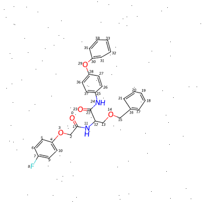 O=C(COc1ccc(F)cc1)NC(COCc1ccccc1)C(=O)Nc1ccc(Oc2ccccc2)cc1